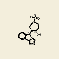 CS(=O)(=O)N1CC[C@H]([C@@H]2c3ccccc3-c3cncn32)[C@@H](O)CC1